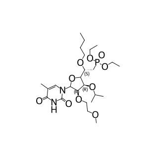 CCCCO[C@H](CP(=O)(OCC)OCC)C1OC(n2cc(C)c(=O)[nH]c2=O)[C@H](OCCOC)[C@@H]1OC(C)C